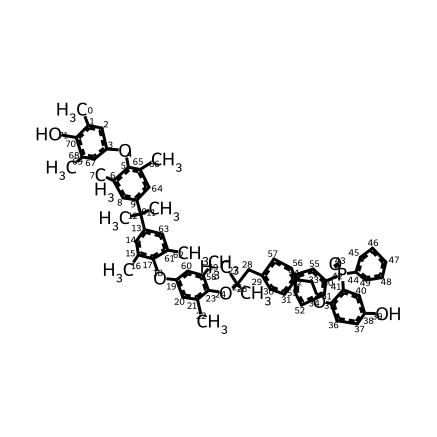 Cc1cc(Oc2c(C)cc(C(C)(C)c3cc(C)c(Oc4cc(C)c(OC(C)(C)Cc5ccc(COc6ccc(O)cc6P(=O)(c6ccccc6)c6ccccc6)cc5)c(C)c4)c(C)c3)cc2C)cc(C)c1O